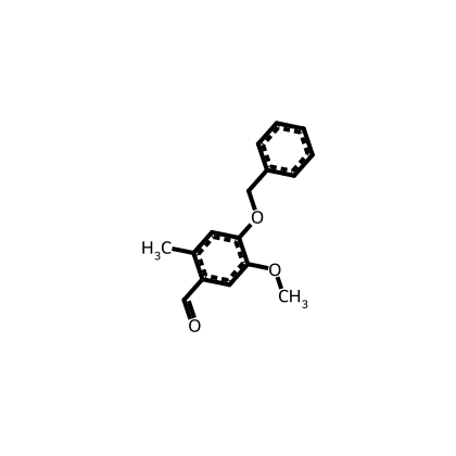 COc1cc(C=O)c(C)cc1OCc1ccccc1